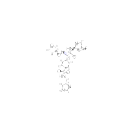 Cn1cnc(CNS(=O)(=O)c2ccc(/C(=N\O[C@@H]3CCOC3)C(=O)Nc3ncc(F)s3)cc2)c1